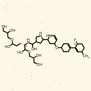 CC1C=C(C2=CCC(OC3C=CNC(C4CC(C(O)N[C@@H](CCC(O)OCC(O)CO)C(O)OCC(O)CO)CN4)C3)CC2)[C@@H](F)CC1